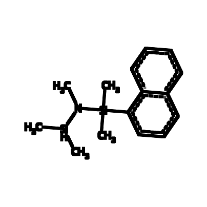 CN([SiH](C)C)[Si](C)(C)c1cccc2ccccc12